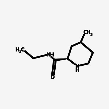 CCNC(=O)[C@H]1CC(C)CCN1